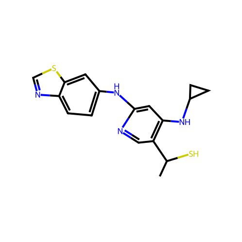 CC(S)c1cnc(Nc2ccc3ncsc3c2)cc1NC1CC1